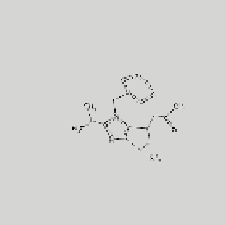 CC(C)c1nc2c(n1Cc1ccccc1)C(CC(=O)O)CC2.N